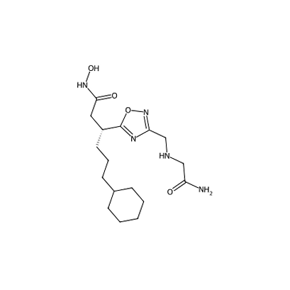 NC(=O)CNCc1noc([C@H](CCCC2CCCCC2)CC(=O)NO)n1